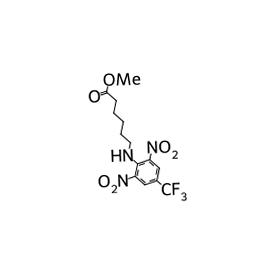 COC(=O)CCCCCNc1c([N+](=O)[O-])cc(C(F)(F)F)cc1[N+](=O)[O-]